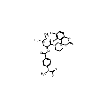 CO[C@@H](C)C[C@H](NC(=O)c1ccc(N(C)C(=O)O)cc1)C(=O)N1CCC[C@@]2(C1)OC(=O)Nc1ccc(Cl)c(F)c12